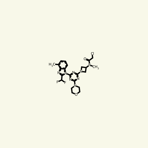 Cc1cccc2c1nc(C(F)F)n2-c1nc(N2CCOCC2)nc(N2CC(N(C)C(=O)CCl)C2)n1